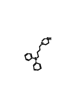 c1ccc(N(CCCCN2CCNCC2)c2ccccc2)cc1